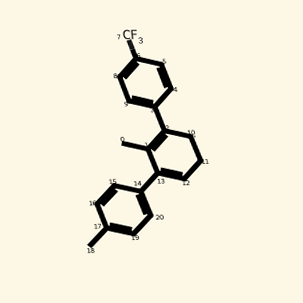 CC1=C(c2ccc(C(F)(F)F)cc2)[CH]CC=C1c1ccc(C)cc1